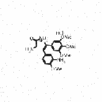 COc1ccc(C=C(C#N)c2cc(OC)c(OC)c(OC)c2)cc1N.Cl.NCC(N)=O